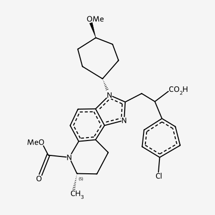 COC(=O)N1c2ccc3c(nc(CC(C(=O)O)c4ccc(Cl)cc4)n3[C@H]3CC[C@H](OC)CC3)c2CC[C@@H]1C